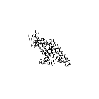 CN(C(=O)OC(C)(C)C)[C@@H]1[C@@H](O)[C@@H](ON(C(=O)O)C2C[C@H](NC(=O)OC(C)(C)C)[C@@H](O[C@H]3O[C@H](CN(CCOC4CCCCO4)C(=O)OC(C)(C)C)CC[C@H]3NC(=O)OC(C)(C)C)[C@@H](O)C2)OC[C@]1(C)O